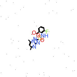 COCc1cccc(F)c1NS(=O)(=O)c1nc2nc(C)cc(C)n2n1